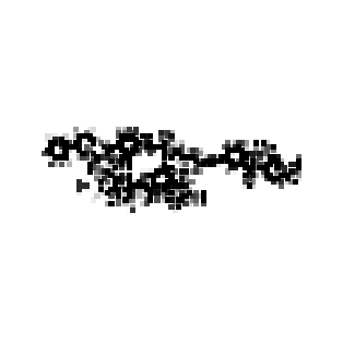 CC(C)(C)C(NC(=O)c1cc2cc(C(F)(F)P(=O)(O)O)ccc2s1)C(=O)N1Cc2cc(OCC(=O)NCCCCC#Cc3ccc4c(c3)C(=O)N(C3CCC(=O)NC3=O)C4=O)ccc2C[C@H]1C(=O)N1CCC[C@H](c2ccccc2)C1